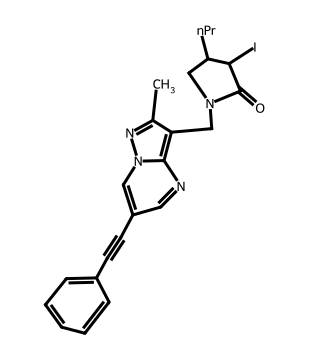 CCCC1CN(Cc2c(C)nn3cc(C#Cc4ccccc4)cnc23)C(=O)C1I